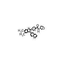 Cc1cc2nc(N3CCC(C(=O)N[C@@H]4CCOC4)CC3)n(-c3ccc4ncccc4c3)c2cc1C